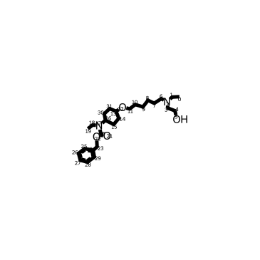 CCN(CCO)CCCCCCOC1CCC(N(CC)C(=O)OCc2ccccc2)CC1